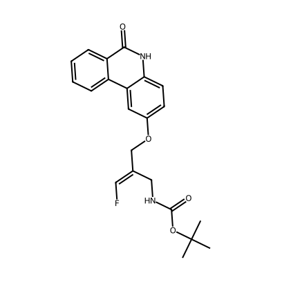 CC(C)(C)OC(=O)NC/C(=C\F)COc1ccc2[nH]c(=O)c3ccccc3c2c1